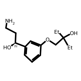 CCC(O)(CC)COc1cccc([C@@H](O)CCN)c1